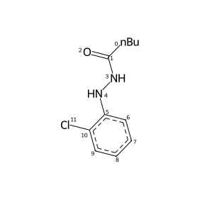 CCCCC(=O)NNc1ccccc1Cl